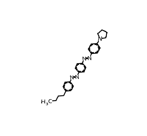 CCCCc1ccc(N=Nc2ccc(N=Nc3ccc(N4CCCC4)cc3)cc2)cc1